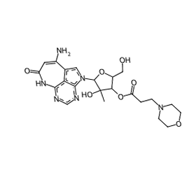 CC1(O)C(OC(=O)CCN2CCOCC2)C(CO)OC1n1cc2c3c(ncnc31)NC(=O)C=C2N